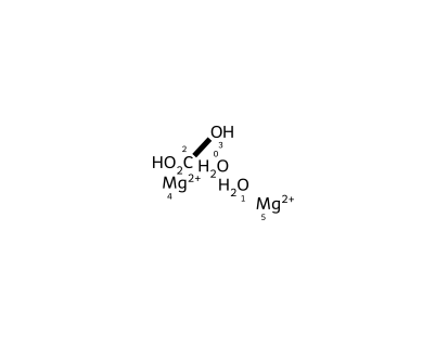 O.O.O=C(O)O.[Mg+2].[Mg+2]